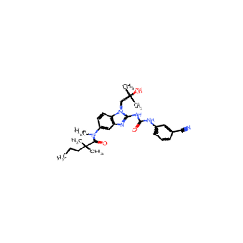 CCCC(C)(C)C(=O)N(C)c1ccc2c(c1)nc(NC(=O)Nc1cccc(C#N)c1)n2CC(C)(C)O